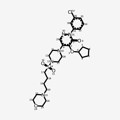 O=c1c(OC2CCCC2)c(N2CCN(S(=O)(=O)CCCCN3CCOCC3)CC2)cnn1-c1cccc(Cl)c1